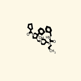 C=CCN(C(=O)NCc1ccccc1)C1CCN(C[C@H]2CN(C(=O)C3CCCC3)C[C@]2(O)c2ccccc2)CC1